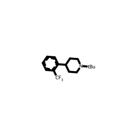 CC(C)(C)N1CCC(c2ccccc2C(F)(F)F)CC1